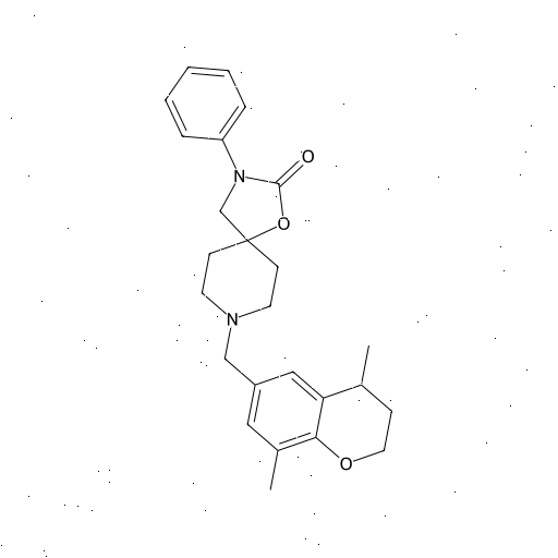 Cc1cc(CN2CCC3(CC2)CN(c2ccccc2)C(=O)O3)cc2c1OCCC2C